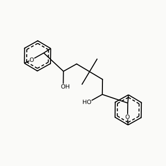 CC(C)(CC(O)C1Oc2ccc1cc2)CC(O)C1Oc2ccc1cc2